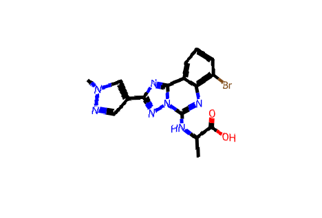 CC(Nc1nc2c(Br)cccc2c2nc(-c3cnn(C)c3)nn12)C(=O)O